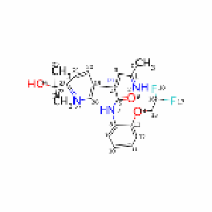 CC(=N)/C=C(\C(=O)Nc1ccccc1OCC(F)F)c1ccc(C(C)(C)O)nc1